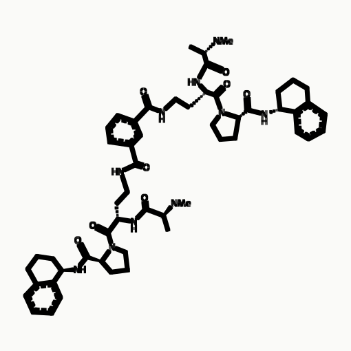 CN[C@@H](C)C(=O)N[C@@H](CCNC(=O)c1cccc(C(=O)NCC[C@H](NC(=O)[C@H](C)NC)C(=O)N2CCC[C@H]2C(=O)N[C@@H]2CCCc3ccccc32)c1)C(=O)N1CCC[C@H]1C(=O)N[C@@H]1CCCc2ccccc21